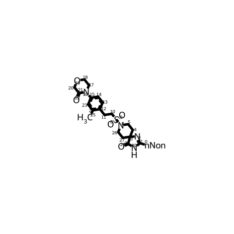 CCCCCCCCCC1=NC2(CCN(S(=O)(=O)CCc3ccc(N4CCOCC4=O)cc3C)CC2)C(=O)N1